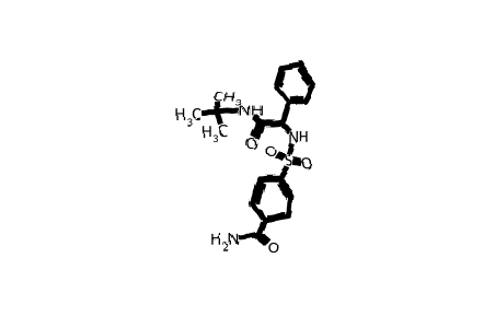 CC(C)(C)NC(=O)C(NS(=O)(=O)c1ccc(C(N)=O)cc1)c1ccccc1